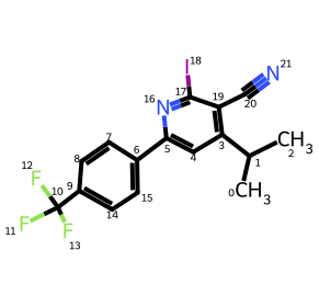 CC(C)c1cc(-c2ccc(C(F)(F)F)cc2)nc(I)c1C#N